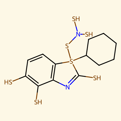 SC1=Nc2c(ccc(S)c2S)S1(SN(S)S)C1CCCCC1